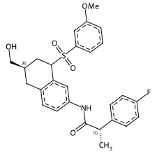 COc1cccc(S(=O)(=O)C2C[C@H](CO)Cc3ccc(NC(=O)[C@@H](C)c4ccc(F)cc4)cc32)c1